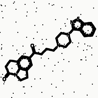 O=C(CCCN1CCN(c2nsc3ccccc23)CC1)c1cc2c3c(c1)CCN3C(=O)CC2